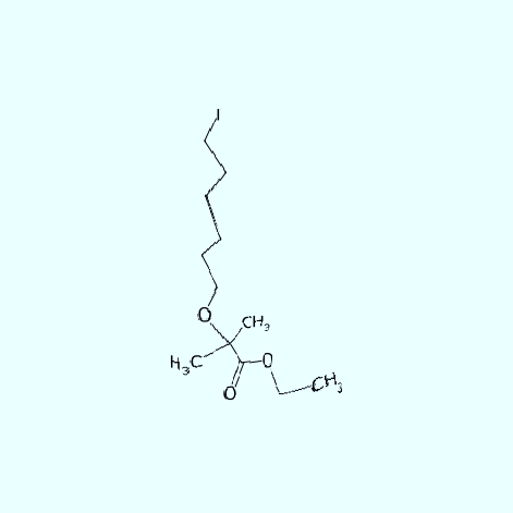 CCOC(=O)C(C)(C)OCCCCCCI